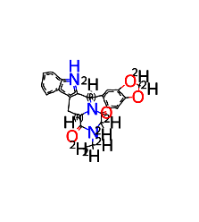 [2H]C1([2H])Oc2ccc([C@]3([2H])c4[nH]c5ccccc5c4C[C@@H]4C(=O)N(C([2H])([2H])[2H])C([2H])([2H])C(=O)N43)cc2O1